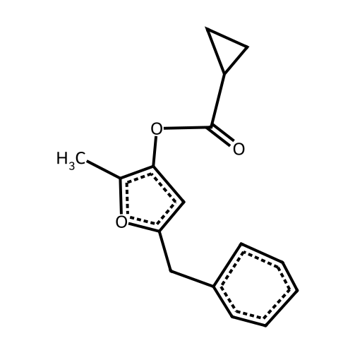 Cc1oc(Cc2ccccc2)cc1OC(=O)C1CC1